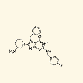 Cn1c(NCc2ccc(F)cc2)nc2nc(N3CCCC(N)C3)n(Cc3ccccc3)c2c1=O